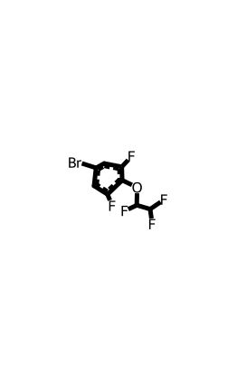 Fc1cc(Br)cc(F)c1OC(F)C(F)F